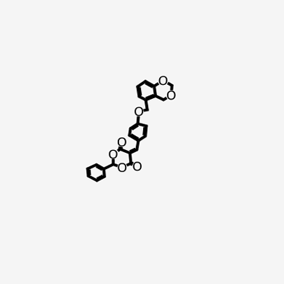 O=C1OC(c2ccccc2)OC(=O)C1=Cc1ccc(OCc2cccc3c2COCO3)cc1